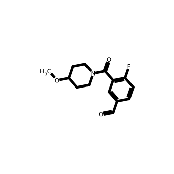 COC1CCN(C(=O)c2cc(C=O)ccc2F)CC1